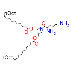 CCCCCCCC/C=C\CCCCCCCC(=O)OC[C@@H]1CN(C(=O)[C@@H](N)CCCCN)C[C@H]1COC(=O)CCCCCCC/C=C\CCCCCCCC